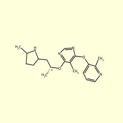 Cc1ncccc1Oc1ncnc(O[C@H](C)CC2CCC(C)N2)c1C